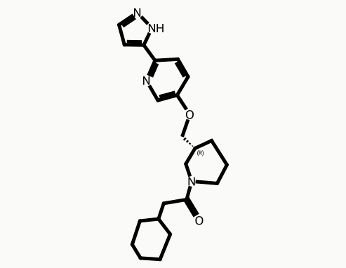 O=C(CC1CCCCC1)N1CCC[C@@H](COc2ccc(-c3ccn[nH]3)nc2)C1